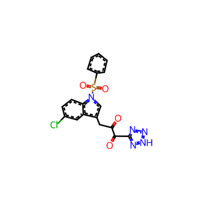 O=C(Cc1cn(S(=O)(=O)c2ccccc2)c2ccc(Cl)cc12)C(=O)c1nn[nH]n1